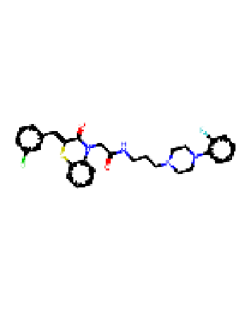 O=C(CN1C(=O)/C(=C/c2cccc(Cl)c2)Sc2ccccc21)NCCCN1CCN(c2ccccc2F)CC1